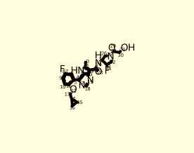 Cc1[nH]c2c(-c3cc(F)ccc3OCC3CC3)ncnc2c1C(=O)NC1CN(C(=O)CO)CC1F